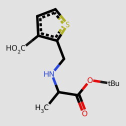 CC(NCc1sccc1C(=O)O)C(=O)OC(C)(C)C